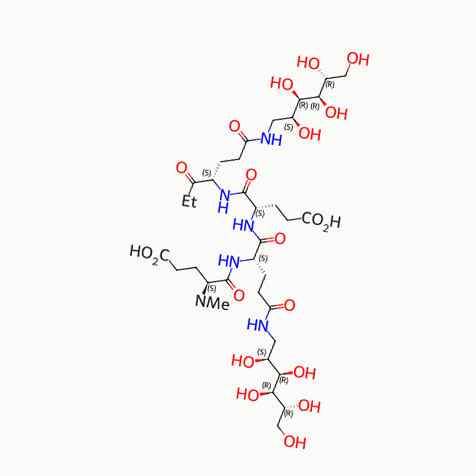 CCC(=O)[C@H](CCC(=O)NC[C@H](O)[C@@H](O)[C@H](O)[C@H](O)CO)NC(=O)[C@H](CCC(=O)O)NC(=O)[C@H](CCC(=O)NC[C@H](O)[C@@H](O)[C@H](O)[C@H](O)CO)NC(=O)[C@H](CCC(=O)O)NC